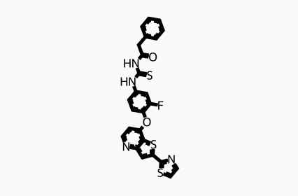 O=C(Cc1ccccc1)NC(=S)Nc1ccc(Oc2ccnc3cc(-c4nccs4)sc23)c(F)c1